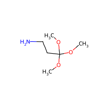 COC(CCN)(OC)OC